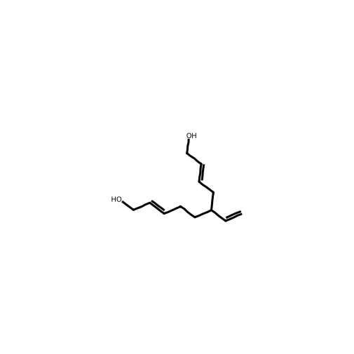 C=CC(CC=CCO)CCC=CCO